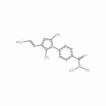 Cc1cc(C=CC(=O)O)c(C)n1-c1ccc(C(=O)N(C)C)cc1